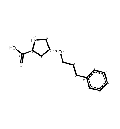 O=C(O)[C@@H]1C[C@@H](OCCCc2ccccc2)CN1